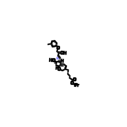 Cc1cccc(OC[C@H](O)/C=C/[C@@H]2[C@H]3CC=C(CCCCC(=O)OC(C)C)CO[C@H]3C[C@H]2O)c1